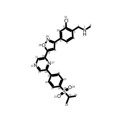 CNCc1ccc(-c2cc(-c3cncc(-c4ccc(S(=O)(=O)C(C)C)cc4)n3)on2)cc1Cl